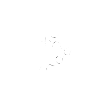 Cc1nn(C(C)(C)C)c(C)c1CCN1CCCC1c1ccc(C=CC(=O)NO)cc1